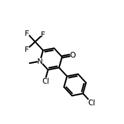 Cn1c(C(F)(F)F)cc(=O)c(-c2ccc(Cl)cc2)c1Cl